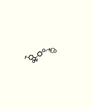 Fc1ccc2c(-c3ccc(OCCN4CCOCC4)cc3)noc2c1